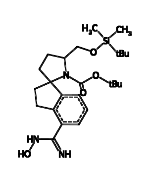 CC(C)(C)OC(=O)N1C(CO[Si](C)(C)C(C)(C)C)CCC12CCc1c(C(=N)NO)cccc12